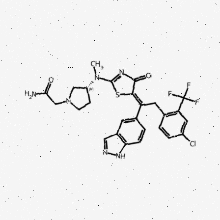 CN(C1=NC(=O)C(=C(Cc2ccc(Cl)cc2C(F)(F)F)c2ccc3[nH]ncc3c2)S1)[C@@H]1CCN(CC(N)=O)C1